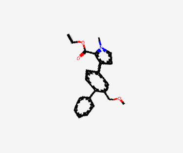 CCOC(=O)c1c(-c2ccc(-c3ccccc3)c(COC)c2)ccn1C